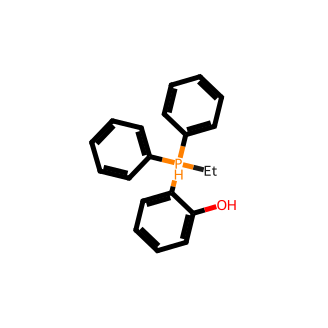 CC[PH](c1ccccc1)(c1ccccc1)c1ccccc1O